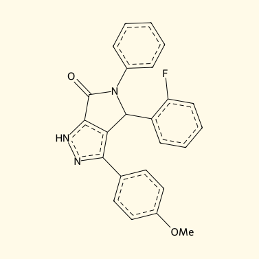 COc1ccc(-c2n[nH]c3c2C(c2ccccc2F)N(c2ccccc2)C3=O)cc1